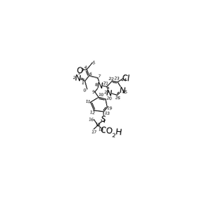 Cc1noc(C)c1CN(Cc1ccc(SC(C)(C)C(=O)O)cc1)c1cc(Cl)ncn1